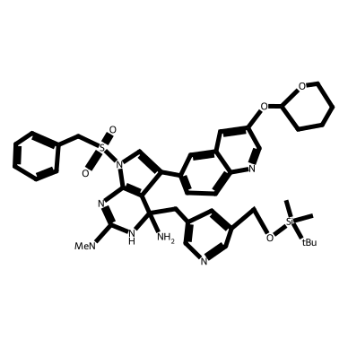 CNC1=Nc2c(c(-c3ccc4ncc(OC5CCCCO5)cc4c3)cn2S(=O)(=O)Cc2ccccc2)C(N)(Cc2cncc(CO[Si](C)(C)C(C)(C)C)c2)N1